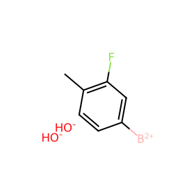 [B+2]c1ccc(C)c(F)c1.[OH-].[OH-]